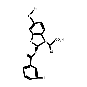 CCOc1ccc2c(c1)s/c(=N\C(=O)c1cccc(Cl)c1)n2C(CC)C(=O)O